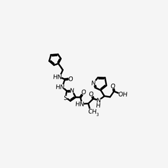 CC(NC(=O)c1csc(NC(=O)NCc2ccccc2)n1)C(=O)NC(CC(=O)O)c1cccnc1